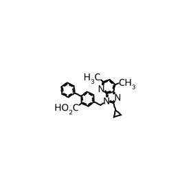 Cc1cc(C)c2nc(C3CC3)n(Cc3ccc(-c4ccccc4)c(C(=O)O)c3)c2n1